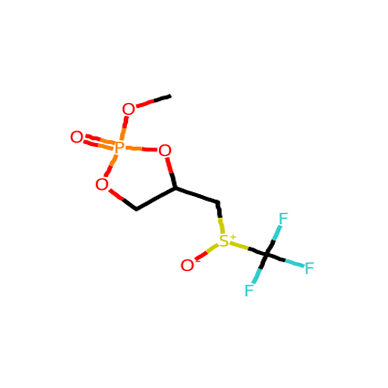 COP1(=O)OCC(C[S+]([O-])C(F)(F)F)O1